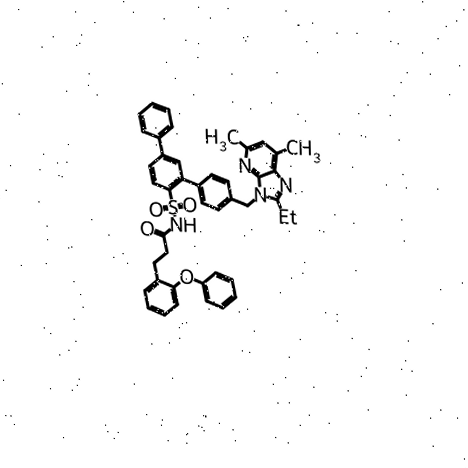 CCc1nc2c(C)cc(C)nc2n1Cc1ccc(-c2cc(-c3ccccc3)ccc2S(=O)(=O)NC(=O)CCc2ccccc2Oc2ccccc2)cc1